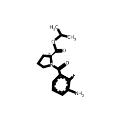 CC(C)OC(=O)[C@@H]1CCCN1C(=O)c1cccc(N)c1F